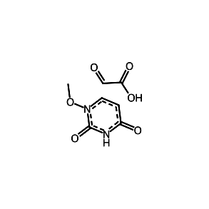 COn1ccc(=O)[nH]c1=O.O=CC(=O)O